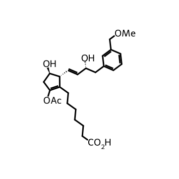 COCc1cccc(C[C@@H](O)/C=C/[C@@H]2C(CCCCCCC(=O)O)=C(OC(C)=O)C[C@H]2O)c1